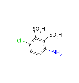 Nc1ccc(Cl)c(S(=O)(=O)O)c1S(=O)(=O)O